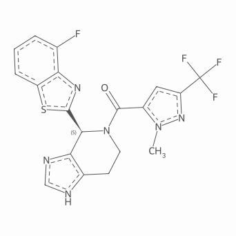 Cn1nc(C(F)(F)F)cc1C(=O)N1CCc2[nH]cnc2[C@H]1c1nc2c(F)cccc2s1